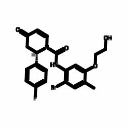 Cc1cc(Br)c(NC(=O)N2C=CC(=O)C[C@H]2c2ccc(F)cc2)cc1OCCO